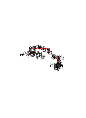 C=c1ccc2c(c1S(=O)(=O)O)Oc1c(ccc(N)c1S(=O)(=O)O)C=2c1cc(C(=O)NCCOCCOCCNC(=O)OCCC(C)(C)SSCOCCCCOC(=O)NCC#Cc2cn([C@H]3C[C@H](OCS(C)=S)[C@@H](COP(=O)(O)OP(=O)(O)OP(=O)(O)O)O3)c(=O)nc2N)ccc1C(=O)O